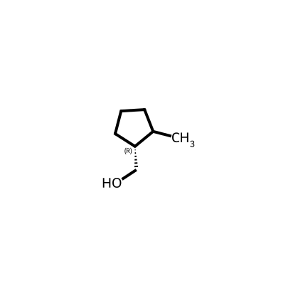 CC1CCC[C@H]1CO